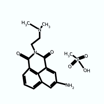 CN(C)CCN1C(=O)c2cccc3cc(N)cc(c23)C1=O.CS(=O)(=O)O